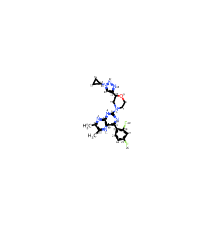 Cc1nc2nc(N3CCOC(c4cn(C5CC5)nn4)C3)nc(-c3ccc(F)cc3F)c2nc1C